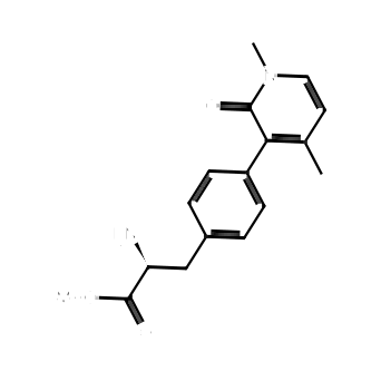 COC(=O)[C@@H](N)Cc1ccc(-c2c(C)ccn(C)c2=O)cc1